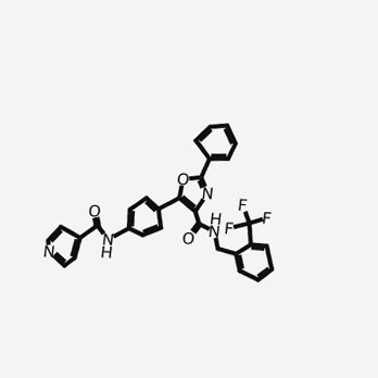 O=C(Nc1ccc(-c2oc(-c3ccccc3)nc2C(=O)NCc2ccccc2C(F)(F)F)cc1)c1ccncc1